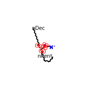 CCCCC/C=C\C/C=C\C/C=C\CCCCC(=O)O[C@H](COC(=O)CCCCCCCCCCCCCCCCCCCC)COP(=O)([O-])OCC[N+](C)(C)C